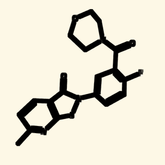 Cc1ccc2c(=O)n(-c3ccc(F)c(C(=O)N4CCOCC4)c3)sc2n1